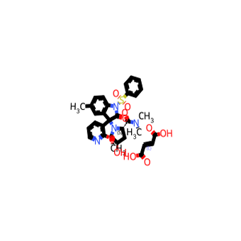 COc1ncccc1C1(N2C[C@H](O)C[C@H]2C(=O)N(C)C)C(=O)N(S(=O)(=O)c2ccccc2)c2ccc(C)cc21.O=C(O)/C=C/C(=O)O